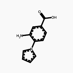 Nc1cc(C(=O)O)ccc1-n1cccc1